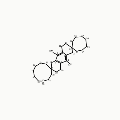 Fc1c2c(c(F)c3c1CC1(CCCCCCCCC1)CC3)CC1(CCCCCCC1)CC2